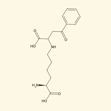 N[C@@H](CCCCNC(CC(=O)c1ccccc1)C(=O)O)C(=O)O